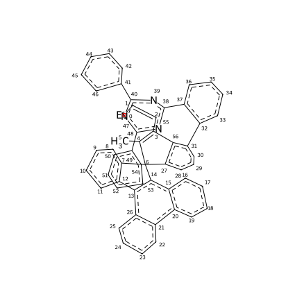 CC/C=C\C1=C(C)C2(c3ccccc3-c3c2c2ccccc2c2ccccc32)c2cccc(-c3ccccc3-c3nc(-c4ccccc4)nc(-c4ccccc4)n3)c21